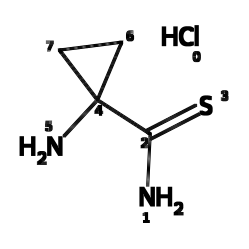 Cl.NC(=S)C1(N)CC1